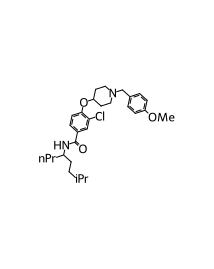 CCCC(CCC(C)C)NC(=O)c1ccc(OC2CCN(Cc3ccc(OC)cc3)CC2)c(Cl)c1